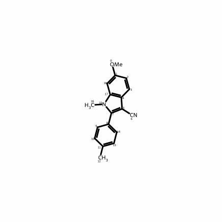 COc1ccc2c(C#N)c(-c3ccc(C)cc3)n(C)c2c1